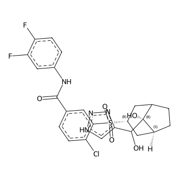 O=C(Nc1ccc(F)c(F)c1)c1ccc(Cl)c(S(=O)(=O)[C@@H]2CC3CC[C@@H](C2)[C@@]3(O)C(O)c2c[nH]nn2)c1